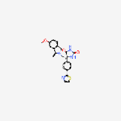 C=C1c2cc(OC)ccc2CN1C[C@@]1(c2ccc(-c3nccs3)cc2)NC(=O)NC1=O